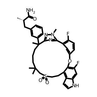 C[C@@H](Cc1cccc(C2(C)CCCC(C)(C)CS(=O)(=O)CCc3c(c(F)cc4[nH]ccc34)Oc3ccc(F)c(c3)-c3nc2nn3C)c1)C(N)=O